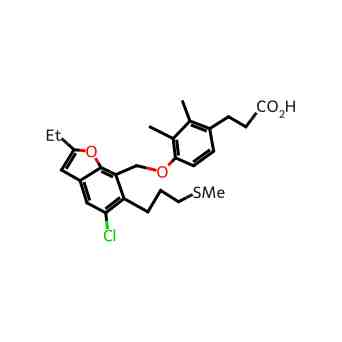 CCc1cc2cc(Cl)c(CCCSC)c(COc3ccc(CCC(=O)O)c(C)c3C)c2o1